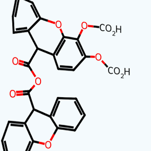 O=C(O)Oc1ccc2c(c1OC(=O)O)Oc1ccccc1C2C(=O)OC(=O)C1c2ccccc2Oc2ccccc21